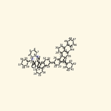 C=N/C(=C1/C=CC=C/C1=N/Cn1c2ccccc2c2cc(-c3ccc4c(c3)c3c5cccc6c5c(cc3n4-c3ccccc3)Cc3ccccc3-6)ccc21)c1ccccc1